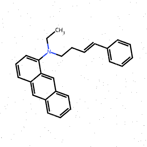 CCN(CCC=Cc1ccccc1)c1cccc2cc3ccccc3cc12